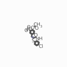 CC(=O)Oc1ccc(/C=C2/Sc3ccc(Cl)cc3NC2=O)cc1[N+](=O)[O-]